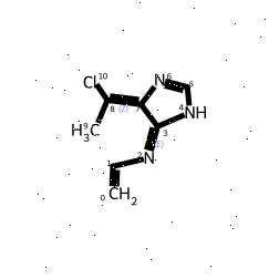 C=C/N=C1/NC=N/C1=C(/C)Cl